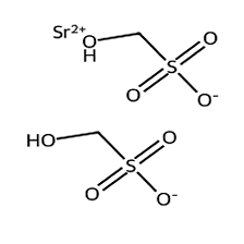 O=S(=O)([O-])CO.O=S(=O)([O-])CO.[Sr+2]